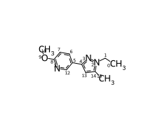 CCn1nc(-c2ccc(OC)nc2)cc1C